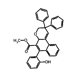 COC(=O)C1=C(c2ccccc2O)c2ccccc2C2=CC(c3ccccc3)(c3ccccc3)COC21